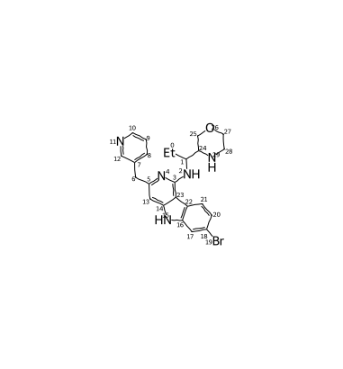 CCC(Nc1nc(Cc2cccnc2)cc2[nH]c3cc(Br)ccc3c12)C1COCCN1